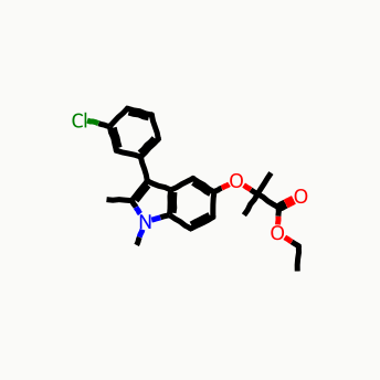 CCOC(=O)C(C)(C)Oc1ccc2c(c1)c(-c1cccc(Cl)c1)c(C)n2C